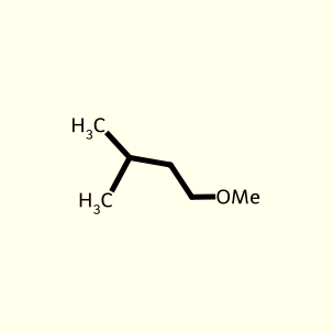 [C]OCCC(C)C